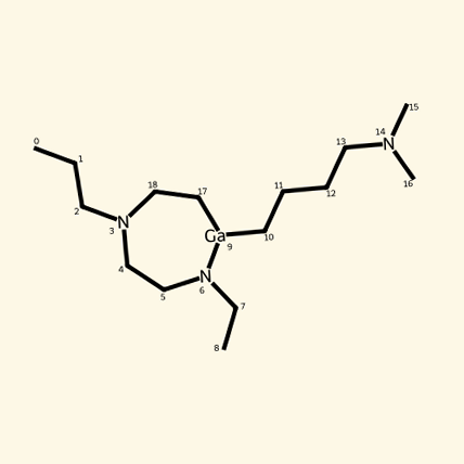 CCCN1CC[N](CC)[Ga]([CH2]CCCN(C)C)[CH2]C1